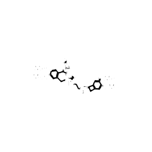 COc1cc2c(cc1OC)C(OS(C)(=O)=O)CN(C(=O)NCCN(C)C[C@@H]1Cc3cc(OC)c(OC)cc31)CC2